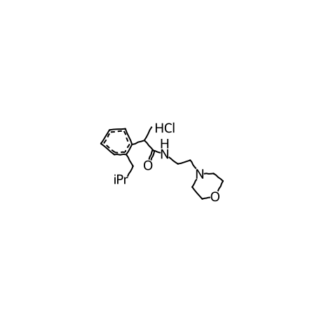 CC(C)Cc1ccccc1C(C)C(=O)NCCN1CCOCC1.Cl